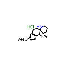 CCCC1c2ccc(OC)cc2CCC12CCCCN2.Cl